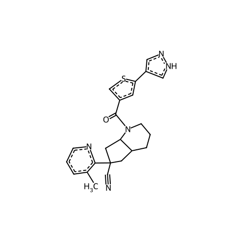 Cc1cccnc1C1(C#N)CC2CCCN(C(=O)c3csc(-c4cn[nH]c4)c3)C2C1